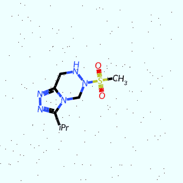 CC(C)c1nnc2n1CN(S(C)(=O)=O)NC2